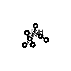 c1ccc(C2=NC(n3c4ccccc4c4cc5c(cc43)c3ccccc3n5-c3ccccc3)=NC(c3ccc(-c4ccccc4)cc3)N2)cc1